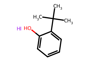 CC(C)(C)c1ccccc1O.I